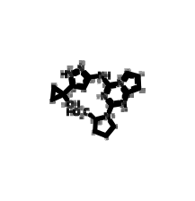 O=C(O)[C@@H]1CCCN1c1nc(Nc2cc(C3(O)CC3)[nH]n2)n2cccc2n1